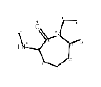 CCN1C(=O)C(NC)CCCC1C